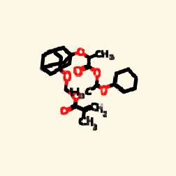 C=C(C)C(=O)OCOC12CC3CC(C1)CC(OC(C)C(=O)OC(C)OC1CCCCC1)(C3)C2